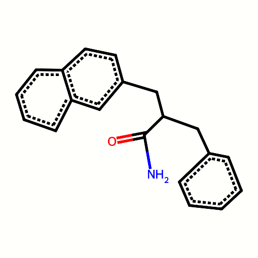 NC(=O)C(Cc1ccccc1)Cc1ccc2ccccc2c1